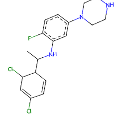 CC(Nc1cc(N2CCNCC2)ccc1F)C1C=CC(Cl)=CC1Cl